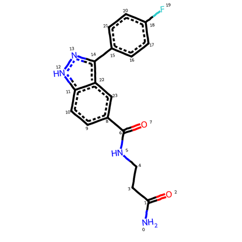 NC(=O)CCNC(=O)c1ccc2[nH]nc(-c3ccc(F)cc3)c2c1